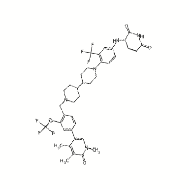 Cc1c(-c2ccc(CN3CCC(C4CCN(c5ccc(NC6CCC(=O)NC6=O)cc5C(F)(F)F)CC4)CC3)c(OC(F)(F)F)c2)cn(C)c(=O)c1C